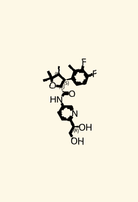 Cc1c([C@H]2[C@H](C(=O)Nc3ccc([C@@H](O)CO)nc3)OC(C)(C)[C@H]2C)ccc(F)c1F